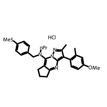 CCCN(Cc1ccc(SC)cc1)c1c2c(nc3c(-c4ccc(OC)cc4C)c(C)nn13)CCC2.Cl